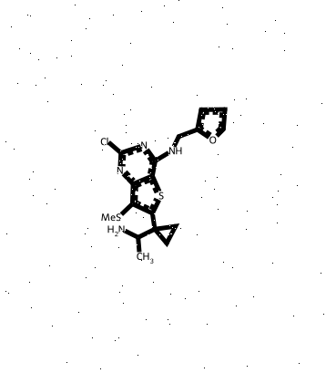 CSc1c(C2(C(C)N)CC2)sc2c(NCc3ccco3)nc(Cl)nc12